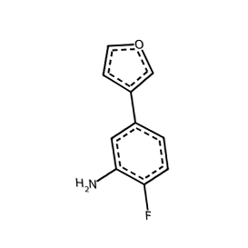 Nc1cc(-c2ccoc2)ccc1F